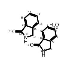 O.O=C1NCc2ccccc21.O=C1NCc2ccccc21